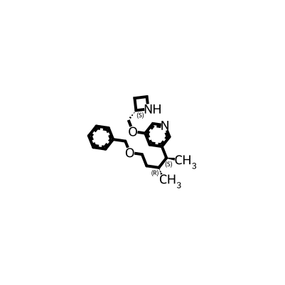 C[C@H](CCOCc1ccccc1)[C@H](C)c1cncc(OC[C@@H]2CCN2)c1